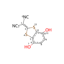 [C-]#[N+]C(C#N)=C1Sc2c(O)ccc(O)c2S1